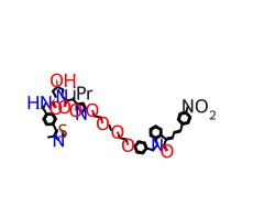 Cc1ncsc1-c1ccc([C@H](C)NC(=O)[C@@H]2C[C@@H](O)CN2C(=O)[C@@H](c2cc(OCCOCCOCCOc3ccc(CN4C(=O)/C(=C/C=C/c5ccc([N+](=O)[O-])cc5)c5ccccc54)cc3)no2)C(C)C)cc1